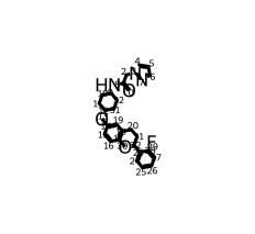 O=C(Cn1cccn1)NC1CCC(Oc2ccc3c(c2)CCC(c2ccccc2F)O3)CC1